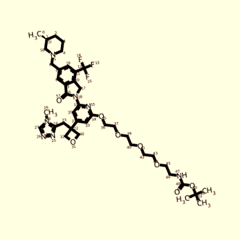 C[C@H]1CCCN(Cc2cc3c(c(C(F)(F)F)c2)CN(c2cc(C4(Cc5nncn5C)COC4)cc(OCCOCCOCCOCCNC(=O)OC(C)(C)C)n2)C3=O)C1